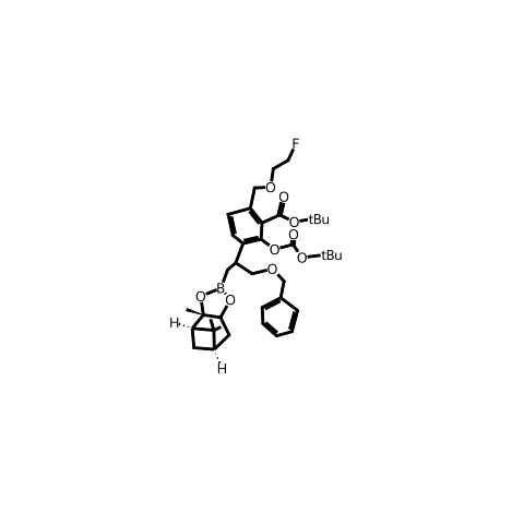 CC(C)(C)OC(=O)Oc1c(C(COCc2ccccc2)CB2OC3C[C@H]4C[C@H](C4(C)C)[C@]3(C)O2)ccc(COCCF)c1C(=O)OC(C)(C)C